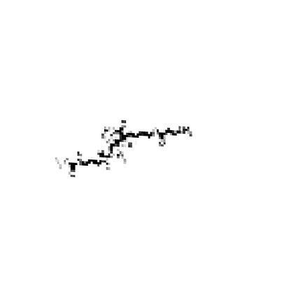 CCCC(=O)OCCCC[C@](O)(C(=O)O)C(C)(C)COS(=O)(=O)CCCNC(C)=O